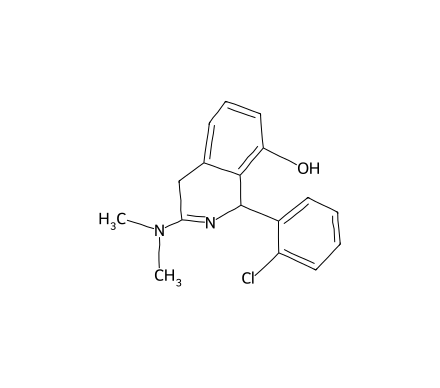 CN(C)C1=NC(c2ccccc2Cl)c2c(O)cccc2C1